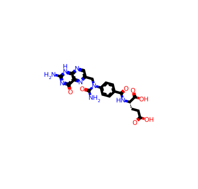 NC(=O)N(Cc1cnc2[nH]c(N)nc(=O)c2n1)c1ccc(C(=O)N[C@@H](CCC(=O)O)C(=O)O)cc1